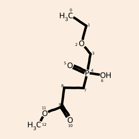 CCOCP(=O)(O)CCC(=O)OC